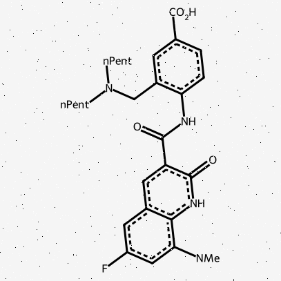 CCCCCN(CCCCC)Cc1cc(C(=O)O)ccc1NC(=O)c1cc2cc(F)cc(NC)c2[nH]c1=O